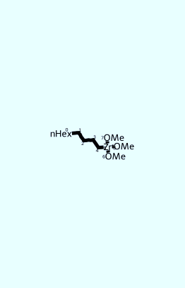 CCCCCCCCC[CH2][Zr]([O]C)([O]C)[O]C